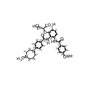 CCC(Oc1cccc(NC(=O)c2ccc(OC)cc2)c1NC(=O)c1ccc(N2CCCN(C)CC2)cc1)C(=O)O.Cl